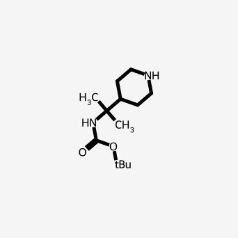 CC(C)(C)OC(=O)NC(C)(C)C1CCNCC1